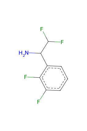 NC(c1cccc(F)c1F)C(F)F